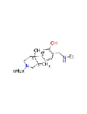 CCCCCCN1CC[C@](C)(c2ccc(CNCC)c(O)c2)[C@@H](C)C1